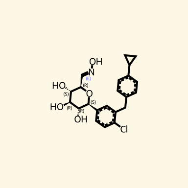 O/N=C/[C@H]1O[C@@H](c2ccc(Cl)c(Cc3ccc(C4CC4)cc3)c2)[C@H](O)[C@@H](O)[C@@H]1O